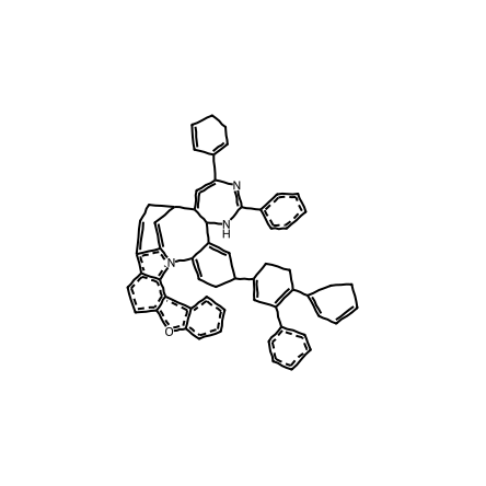 C1=C(C2=CCCC=C2)N=C(c2ccccc2)NC2C=1C1C=c3c(c4ccc5oc6ccccc6c5c4n3C3=CCC(C4=CC(c5ccccc5)=C(C5=CC=CCC5)CC4)C=C32)=CC1